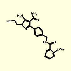 COc1ccccc1C(=O)NCc1ccc(-c2nn(CCC#N)c(N)c2C(N)=O)cc1